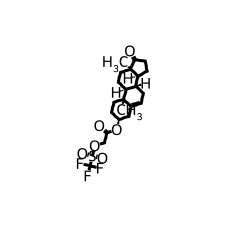 C[C@]12CC[C@H](OC(=O)COS(=O)(=O)C(F)(F)F)CC1=CC[C@@H]1[C@@H]2CC[C@]2(C)C(=O)CC[C@@H]12